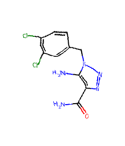 NC(=O)c1nnn(Cc2ccc(Cl)c(Cl)c2)c1N